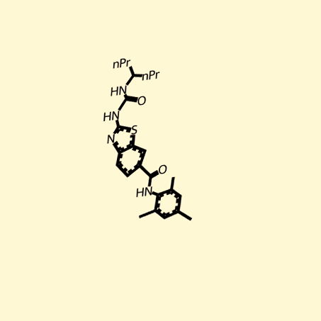 CCCC(CCC)NC(=O)Nc1nc2ccc(C(=O)Nc3c(C)cc(C)cc3C)cc2s1